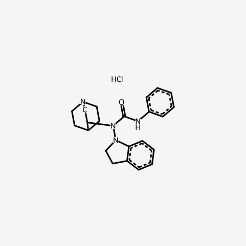 Cl.O=C(Nc1ccccc1)N(C1CN2CCC1CC2)N1CCc2ccccc21